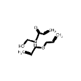 C=CC(=O)NCO.C=CCOCC=C